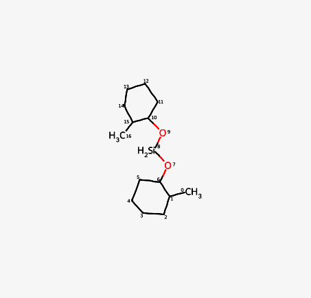 CC1CCCCC1O[SiH2]OC1CCCCC1C